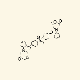 O=S(=O)(c1ccc(Oc2ccccc2N(CC2CO2)CC2CO2)cc1)c1ccc(Oc2ccccc2N(CC2CO2)CC2CO2)cc1